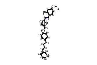 Fc1cc(C(F)(F)F)ccc1/C=C/c1nc(COc2ccc(CCCCc3cccnc3)cc2)co1